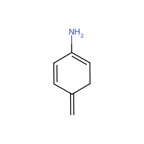 C=C1C=CC(N)=CC1